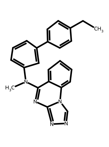 CCc1ccc(-c2cccc(N(C)c3nc4nncn4c4ccccc34)c2)cc1